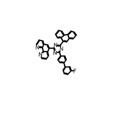 Fc1cccc(-c2ccc(-c3nc(-c4cc5ccccc5c5ccccc45)nc(-c4cc5cccnc5c5ncccc45)n3)cc2)c1